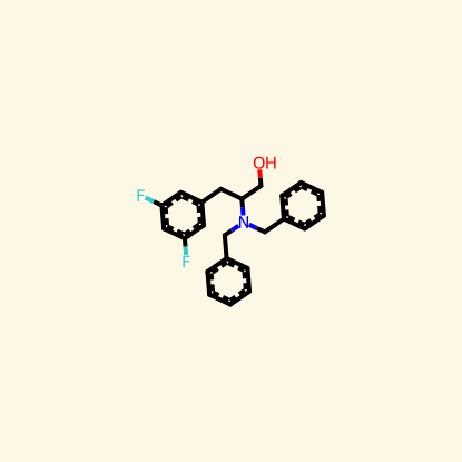 OCC(Cc1cc(F)cc(F)c1)N(Cc1ccccc1)Cc1ccccc1